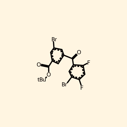 CC(C)(C)OC(=O)c1cc(Br)cc(C(=O)c2cc(Br)c(F)cc2F)c1